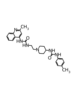 Cc1ccc(NC(=O)NC2CCN(CCNC(=O)Nc3cc(C)nc4ccccc34)CC2)cc1